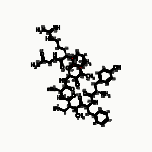 CCCC[C@H](NC(=O)[C@H](CC(C)C)N(C)C(=O)[C@H](Cc1ccccc1)NC(=O)[C@@H](N)Cc1ccc(O)cc1)C(=O)N[C@@H](Cc1cccnc1)C(=O)N(C)[C@@H](C)C(=O)N[C@@H](CCCNC(=N)N)C(=O)NCC(N)=O